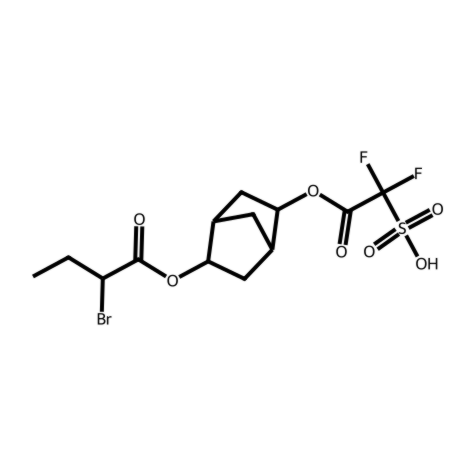 CCC(Br)C(=O)OC1CC2CC1CC2OC(=O)C(F)(F)S(=O)(=O)O